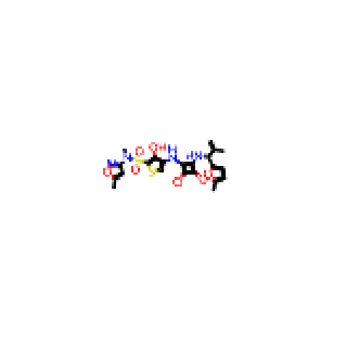 C=C(C)[C@@H](Nc1c(Nc2csc(S(=O)(=O)N(C)c3cc(C)on3)c2O)c(=O)c1=O)c1ccc(C)o1